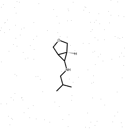 CC(C)CNC1C2COC[C@H]21